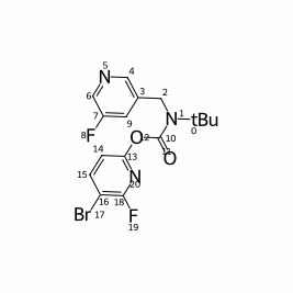 CC(C)(C)N(Cc1cncc(F)c1)C(=O)Oc1ccc(Br)c(F)n1